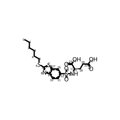 CCCCCCSc1nc2ccc(S(=O)(=O)N[C@H](CCC(=O)O)C(=O)O)cc2s1